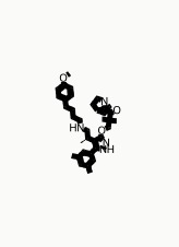 COc1ccc(CCCCNC[C@@H](C)c2c(OCC(C)(C)C(=O)C3C4CCN3CC4)n[nH]c2-c2cc(C)cc(C)c2)cc1